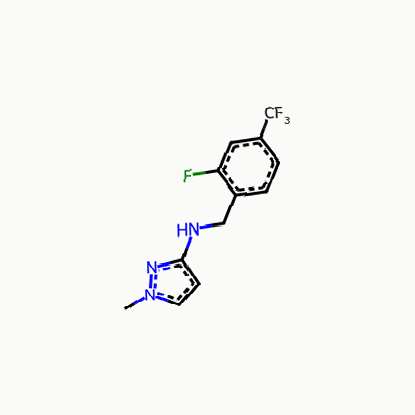 Cn1ccc(NCc2ccc(C(F)(F)F)cc2F)n1